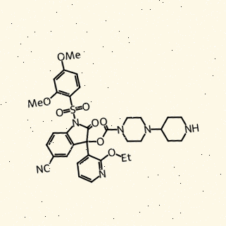 CCOc1ncccc1C1(OC(=O)N2CCN(C3CCNCC3)CC2)C(=O)N(S(=O)(=O)c2ccc(OC)cc2OC)c2ccc(C#N)cc21